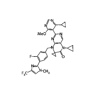 COc1ncnc(C2CC2)c1-c1ncc2c(n1)N(Cc1ccc(-c3nc(C(F)(F)F)cn3C)c(F)c1)C1(CC1)C(=O)N2C1CC1